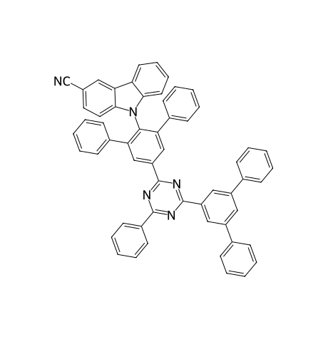 N#Cc1ccc2c(c1)c1ccccc1n2-c1c(-c2ccccc2)cc(-c2nc(-c3ccccc3)nc(-c3cc(-c4ccccc4)cc(-c4ccccc4)c3)n2)cc1-c1ccccc1